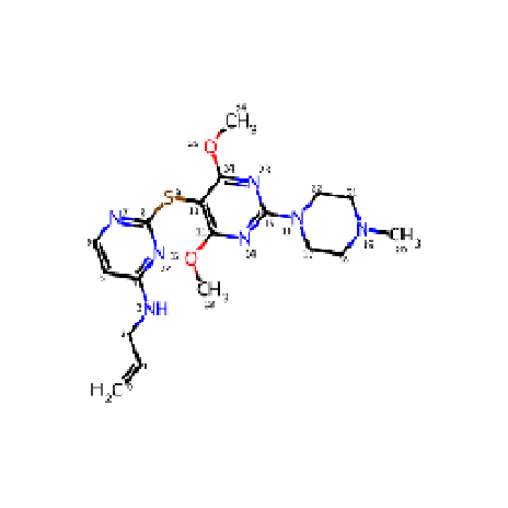 C=CCNc1ccnc(Sc2c(OC)nc(N3CCN(C)CC3)nc2OC)n1